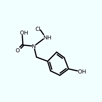 O=C(O)N(Cc1ccc(O)cc1)NCl